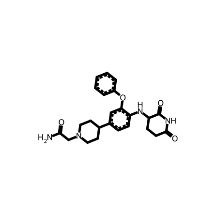 NC(=O)CN1CCC(c2ccc(NC3CCC(=O)NC3=O)c(Oc3ccccc3)c2)CC1